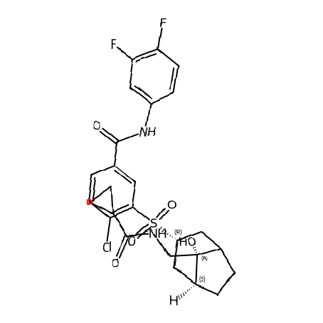 O=C(Nc1ccc(F)c(F)c1)c1ccc(Cl)c(S(=O)(=O)[C@@H]2CC3CC[C@@H](C2)[C@@]3(O)CNC(=O)C2CC2)c1